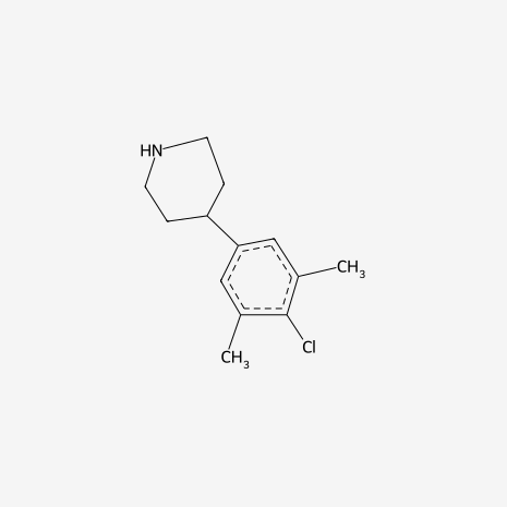 Cc1cc(C2CCNCC2)cc(C)c1Cl